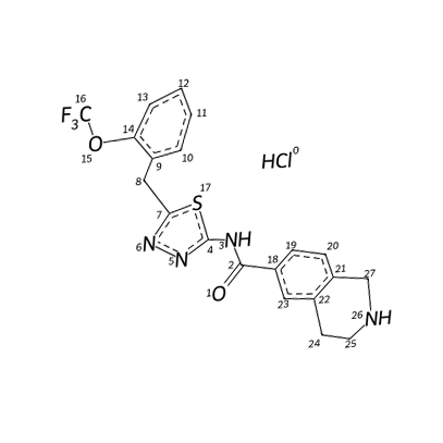 Cl.O=C(Nc1nnc(Cc2ccccc2OC(F)(F)F)s1)c1ccc2c(c1)CCNC2